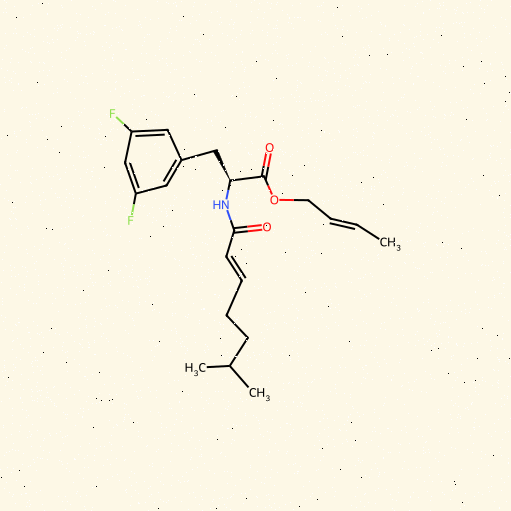 C/C=C/COC(=O)[C@H](Cc1cc(F)cc(F)c1)NC(=O)/C=C/CCC(C)C